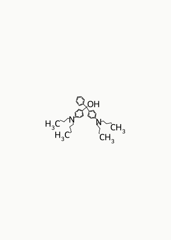 CCCCN(CCCC)c1ccc(C(O)(c2ccccc2)c2ccc(N(CCCC)CCCC)cc2)cc1